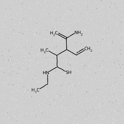 C=CC(C(=C)N)C(C)C(S)NCC